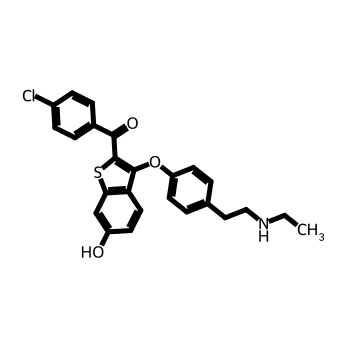 CCNCCc1ccc(Oc2c(C(=O)c3ccc(Cl)cc3)sc3cc(O)ccc23)cc1